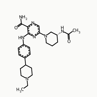 CCN1CCC(c2ccc(Nc3nc(N4CCC[C@@H](NC(C)=O)C4)cnc3C(N)=O)cc2)CC1